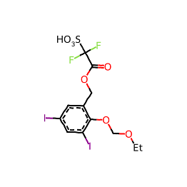 CCOCOc1c(I)cc(I)cc1COC(=O)C(F)(F)S(=O)(=O)O